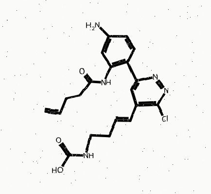 C=CCCC(=O)Nc1cc(N)ccc1-c1cc(C=CCCNC(=O)O)c(Cl)nn1